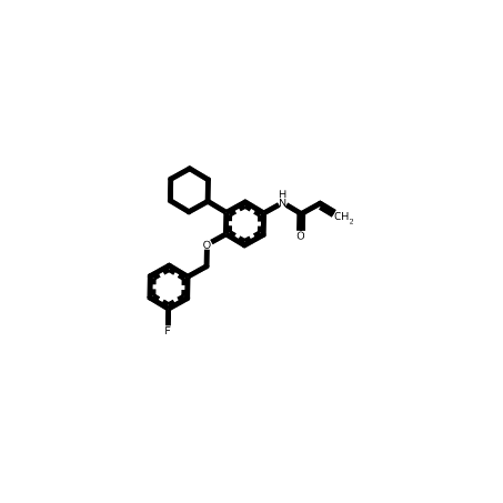 C=CC(=O)Nc1ccc(OCc2cccc(F)c2)c(C2CCCCC2)c1